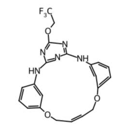 FC(F)(F)COc1nc2nc(n1)Nc1cccc(c1)OCC=CCOc1cccc(c1)N2